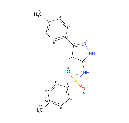 Cc1ccc(C2=NNC(NS(=O)(=O)c3ccc(C)cc3)C2)cc1